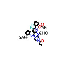 C=CC(=O)N1CCN(/C(=N/c2c(SC)cccc2C(C)C)c2cc(F)c(-c3c(F)cccc3OC(=O)C(C)C)nc2NC=O)C(C)C1